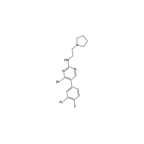 CC(=O)c1cc(-c2cnc(NCCN3CCCC3)nc2C(C)C)ccc1F